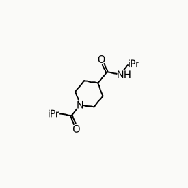 CC(C)NC(=O)C1CCN(C(=O)C(C)C)CC1